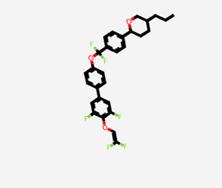 CCCC1CCC(c2ccc(C(F)(F)Oc3ccc(-c4cc(F)c(OC=C(F)F)c(F)c4)cc3)cc2)OC1